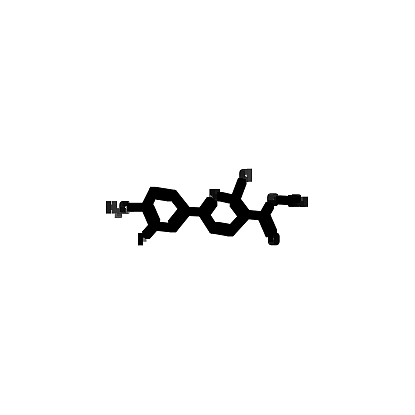 Cc1ccc(-c2ccc(C(=O)OC(C)(C)C)c(Cl)n2)cc1F